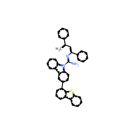 C=C(/C=C(\N=C(/N)n1c2ccccc2c2cc(-c3cccc4c3sc3ccccc34)ccc21)c1ccccc1)c1ccccc1